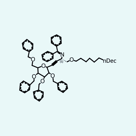 CCCCCCCCCCCCCCCCOC[C@H](C#CC1OC(COCc2ccccc2)C(OCc2ccccc2)C(OCc2ccccc2)C1OCc1ccccc1)N=C(c1ccccc1)c1ccccc1